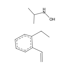 C=Cc1ccccc1CC.CC(C)NO